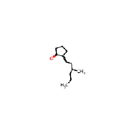 CCCC(C)C/C=C1\CCCC1=O